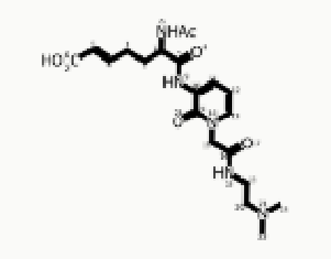 CC(=O)NC(CCC=CC(=O)O)C(=O)Nc1cccn(CC(=O)NCCN(C)C)c1=O